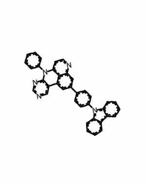 c1ccc(N2c3ncncc3-c3cc(-c4ccc(-n5c6ccccc6c6ccccc65)cc4)cc4nccc2c34)cc1